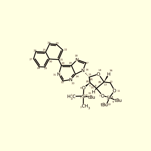 CC(C)(C)[Si](C)(C)O[C@@H]1[C@H]2O[Si](C(C)(C)C)(C(C)(C)C)OC[C@H]2O[C@H]1n1cnc2c(-c3cccc4ccccc34)ncnc21